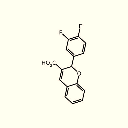 O=C(O)C1=Cc2ccccc2OC1c1ccc(F)c(F)c1